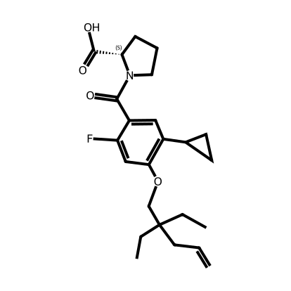 C=CCC(CC)(CC)COc1cc(F)c(C(=O)N2CCC[C@H]2C(=O)O)cc1C1CC1